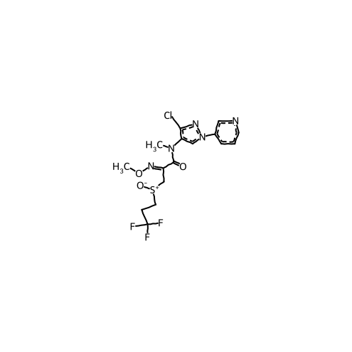 CON=C(C[S+]([O-])CCC(F)(F)F)C(=O)N(C)c1cn(-c2cccnc2)nc1Cl